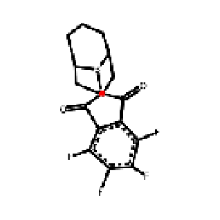 O=C1c2c(F)c(F)c(F)c(F)c2C(=O)N1B1C2CCCC1CCC2